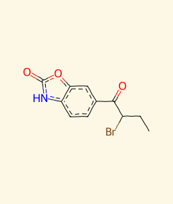 CCC(Br)C(=O)c1ccc2[nH]c(=O)oc2c1